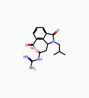 CC(C)CN1C(=O)c2cccc(C(=O)O)c2C1CC(=O)NC(=N)N